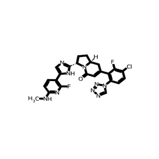 CNc1ccc(-c2cnc([C@@H]3CC[C@H]4CC(c5c(-n6cnnn6)ccc(Cl)c5F)=CC(=O)N43)[nH]2)c(F)n1